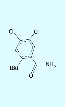 CC(C)(C)c1cc(Cl)c(Cl)cc1C(N)=O